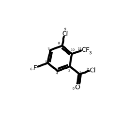 O=C(Cl)c1cc(F)cc(Cl)c1C(F)(F)F